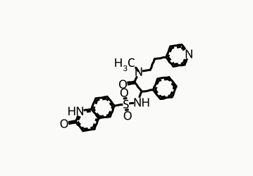 CN(CCc1ccncc1)C(=O)C(NS(=O)(=O)c1ccc2[nH]c(=O)ccc2c1)c1ccccc1